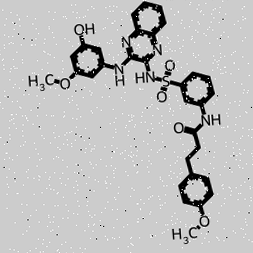 COc1ccc(CCC(=O)Nc2cccc(S(=O)(=O)Nc3nc4ccccc4nc3Nc3cc(O)cc(OC)c3)c2)cc1